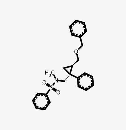 CN(C[C@]1(c2ccccc2)C[C@H]1COCc1ccccc1)S(=O)(=O)c1ccccc1